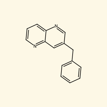 c1ccc(Cc2cnc3cccnc3c2)cc1